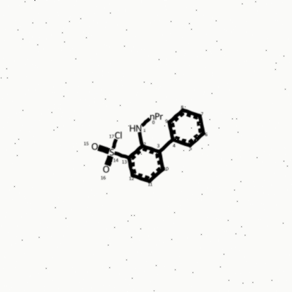 CCCNc1c(-c2ccccc2)cccc1S(=O)(=O)Cl